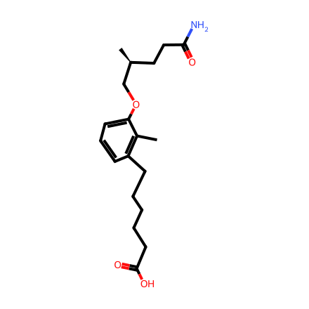 Cc1c(CCCCCC(=O)O)cccc1OC[C@@H](C)CCC(N)=O